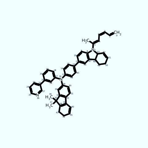 C=C/C=C\C=C(/C)N1c2ccc(-c3ccc(N(c4cccc(-c5cccnc5)c4)c4ccc5c(c4)C(C)(C)C4=C5C=CCC4)cc3)cc2C2CCC=CC21